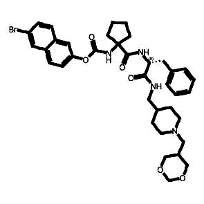 O=C(NC1(C(=O)N[C@H](Cc2ccccc2)C(=O)NCC2CCN(CC3COCOC3)CC2)CCCC1)Oc1ccc2cc(Br)ccc2c1